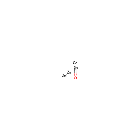 [Cd].[Ge].[O]=[Sn].[Zn]